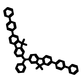 CC1(C)c2cc(-c3ccc(-c4ccccc4)cc3)ccc2-c2ccc(N(c3ccccc3)c3ccc4c(c3)C(C)(C)c3cc(-c5ccc(-c6ccccc6)cc5)ccc3-4)cc21